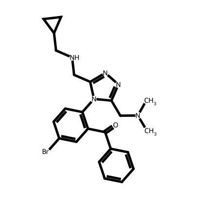 CN(C)Cc1nnc(CNCC2CC2)n1-c1ccc(Br)cc1C(=O)c1ccccc1